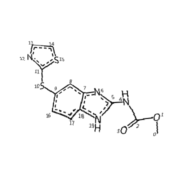 COC(=O)Nc1nc2cc(Sc3nccs3)ccc2[nH]1